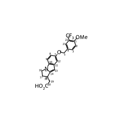 COc1ccc(COc2ccc3c(c2)cc2n3CC[C@@H]2CC(=O)O)cc1C(F)(F)F